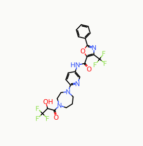 O=C(Nc1ccc(N2CCCN(C(=O)C(O)C(F)(F)F)CC2)nc1)c1oc(-c2ccccc2)nc1C(F)(F)F